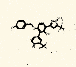 Cn1nc(-c2ccc(OCc3ccc(Cl)cc3)c(-c3ccc(Cl)c(C(F)(F)F)c3)c2O)cc1C(F)(F)F